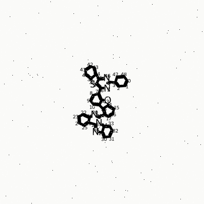 c1ccc(-c2nc(-c3cccc4c3oc3cccc(-c5nc6ccccc6c6nc7ccccc7n56)c34)c3sc4ccccc4c3n2)cc1